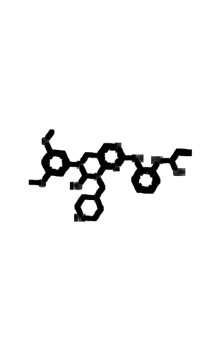 C=CC(O)Nc1ccccc1Nc1ncc2c(n1)N(CC1CCNCC1)C(O)N(c1cc(OC)cc(OC)c1)C2